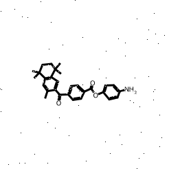 Cc1cc2c(cc1C(=O)c1ccc(C(=O)Oc3ccc(N)cc3)cc1)C(C)(C)CCC2(C)C